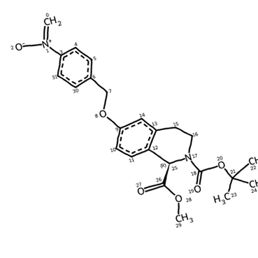 C=[N+]([O-])c1ccc(COc2ccc3c(c2)CCN(C(=O)OC(C)(C)C)[C@H]3C(=O)OC)cc1